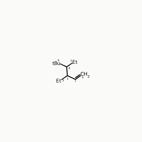 C=CC(CC)C(CC)C(C)(C)C